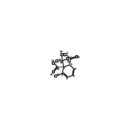 O=C(Cl)C1C=CC=C(Cl)C1(C(=O)Cl)C(Cl)(Cl)Cl